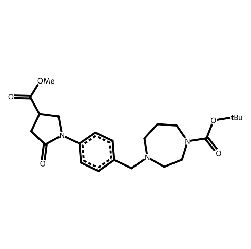 COC(=O)C1CC(=O)N(c2ccc(CN3CCCN(C(=O)OC(C)(C)C)CC3)cc2)C1